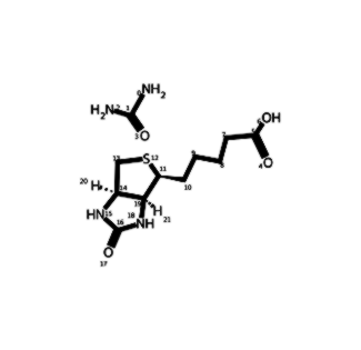 NC(N)=O.O=C(O)CCCC[C@@H]1SC[C@@H]2NC(=O)N[C@@H]21